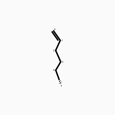 C=CCCC[S]